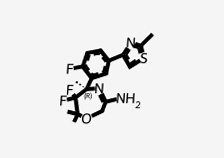 Cc1nc(-c2ccc(F)c([C@@]3(C)N=C(N)COC(C)(C)C3(F)F)c2)cs1